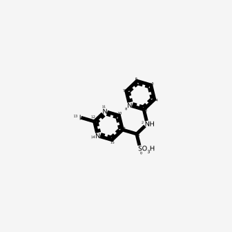 O=S(=O)(O)C(Nc1ccccn1)c1cnc(I)nc1